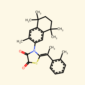 CC(=C1SC(=O)C(=O)N1c1cc2c(cc1C)C(C)(C)CCC2(C)C)c1ccccc1C